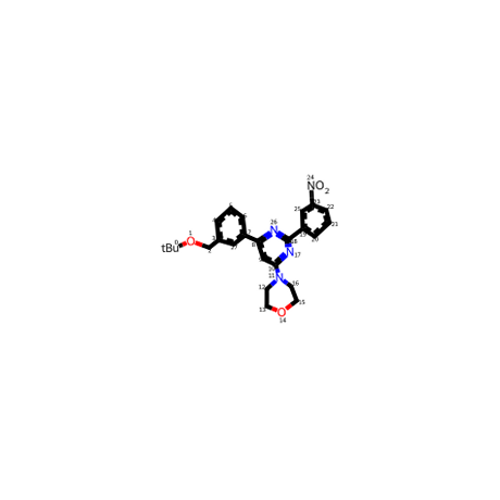 CC(C)(C)OCc1cccc(-c2cc(N3CCOCC3)nc(-c3cccc([N+](=O)[O-])c3)n2)c1